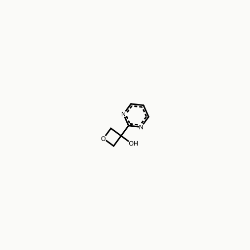 OC1(c2ncccn2)COC1